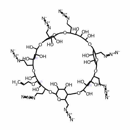 C=CCO/C1=C(\O)C(CCN=[N+]=[N-])OC2OC(CN=[N+]=[N-])C(OC(O)/C(O)=C(\O)C(CCN=[N+]=[N-])OC3OC(CN=[N+]=[N-])C(OC(O)C(O)C(O)C(CCN=[N+]=[N-])OC4OC(CN=[N+]=[N-])C(OC(O)/C(O)=C(\O)C(CCN=[N+]=[N-])OC1O)C(O)C4O)C(O)C3O)C(O)C2O